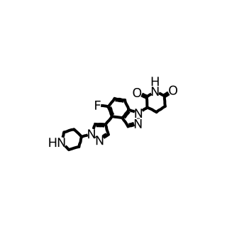 O=C1CCC(n2ncc3c(-c4cnn(C5CCNCC5)c4)c(F)ccc32)C(=O)N1